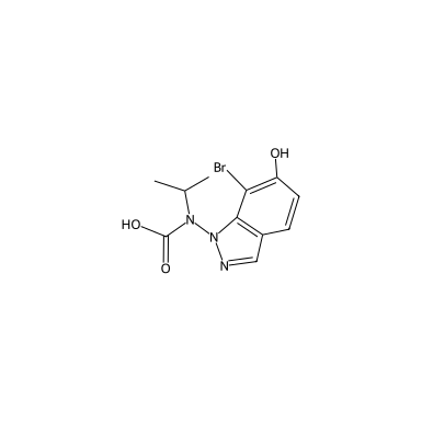 CC(C)N(C(=O)O)n1ncc2ccc(O)c(Br)c21